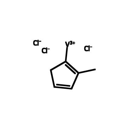 CC1=[C]([V+3])CC=C1.[Cl-].[Cl-].[Cl-]